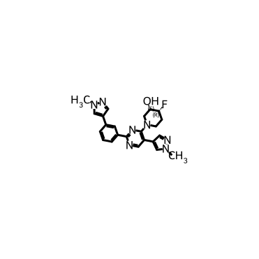 Cn1cc(-c2cccc(-c3ncc(-c4cnn(C)c4)c(N4CC[C@@H](F)[C@@H](O)C4)n3)c2)cn1